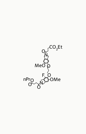 CCCOC(=O)CCC(=O)N1Cc2cc(OC)c(OCCCOc3cc4c(cc3OC)CN(C(=O)CCC(=O)OCC)C4)c(F)c2C1